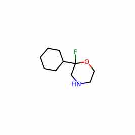 FC1(C2CCCCC2)CNCCO1